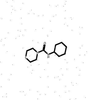 O=C(NC1CCCCC1)N1CCSCC1